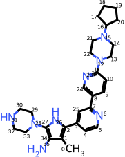 Cc1c(-c2ccnc(-c3ccc(N4CCN(C5CCCC5)CC4)nc3)c2)[nH]c(N2CCNCC2)c1N